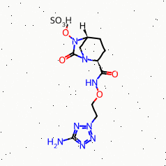 Nc1nnn(CCONC(=O)[C@@H]2CC[C@@H]3CN2C(=O)N3OS(=O)(=O)O)n1